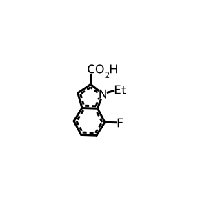 CCn1c(C(=O)O)cc2cccc(F)c21